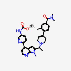 Cc1cc(C(=O)N(C)C)ccc1C1=CCN(C(C)c2cc3c(-c4ccc(NC(=O)OC(C)(C)C)cn4)ccnc3n2C)CC1